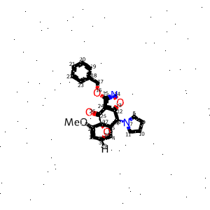 COC1=C[C@H]2CC3[C@H](N4CCCC4)c4onc(OCc5ccccc5)c4C(=O)[C@@]13O2